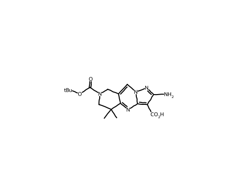 CC(C)(C)OC(=O)N1Cc2cn3nc(N)c(C(=O)O)c3nc2C(C)(C)C1